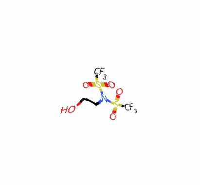 O=S(=O)(N(CCO)S(=O)(=O)C(F)(F)F)C(F)(F)F